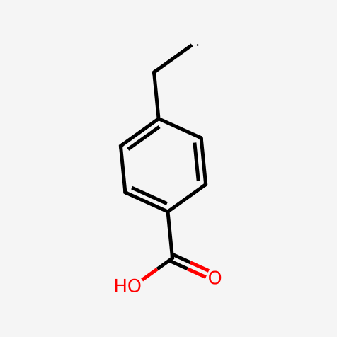 [CH2]Cc1ccc(C(=O)O)cc1